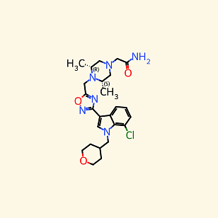 C[C@@H]1CN(CC(N)=O)C[C@H](C)N1Cc1nc(-c2cn(CC3CCOCC3)c3c(Cl)cccc23)no1